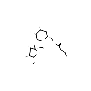 O=C(CCO)OC[C@H]1O[C@H](O[C@]2(CO)O[C@H](CO)[C@@H](O)[C@@H]2O)[C@H](O)[C@@H](O)[C@@H]1O